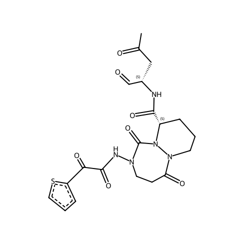 CC(=O)C[C@@H](C=O)NC(=O)[C@@H]1CCCN2C(=O)CCN(NC(=O)C(=O)c3cccs3)C(=O)N12